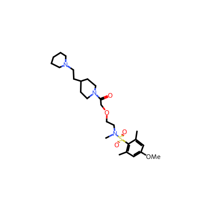 COc1cc(C)c(S(=O)(=O)N(C)CCOCC(=O)N2CCC(CCN3CCCCC3)CC2)c(C)c1